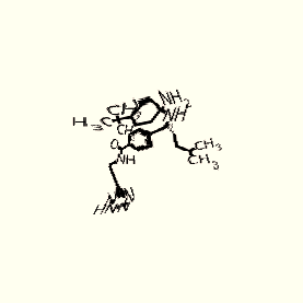 CC(C)CC[C@@H](NC1(N)CCC(C(C)(C)C)CC1)c1ccc(C(=O)NCc2nn[nH]n2)cc1